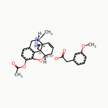 COc1cccc(CC(=O)O[C@H]2C=C[C@H]3[C@H]4Cc5ccc(OC(C)=O)c6c5[C@@]3(CCN4C)[C@H]2O6)c1